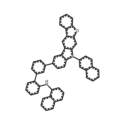 c1cc(-c2ccc3c(c2)c2cc4c(cc2n3-c2ccc3ccccc3c2)oc2ccccc24)cc(-c2ccccc2Nc2cccc3ccccc23)c1